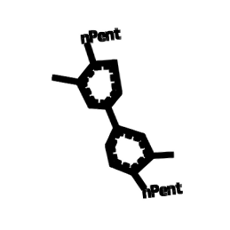 CCCCCc1ccc(-c2ccc(CCCCC)c(C)c2)cc1C